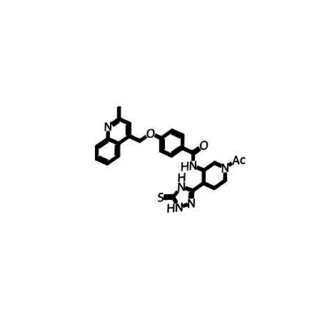 CC(=O)N1CCC(c2n[nH]c(=S)[nH]2)C(NC(=O)c2ccc(OCc3cc(C)nc4ccccc34)cc2)C1